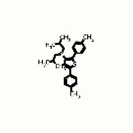 Cc1ccc(-c2cc(P(CC(C)C)CC(C)C)c(-c3ccc(C)cc3)s2)cc1